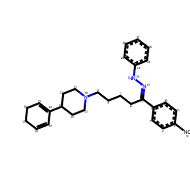 O=[N+]([O-])c1ccc(/C(CCCCN2CCC(C3=C[CH]CC=C3)CC2)=N/Nc2ccccc2)cc1